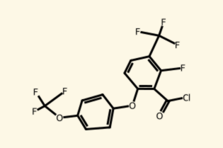 O=C(Cl)c1c(Oc2ccc(OC(F)(F)F)cc2)ccc(C(F)(F)F)c1F